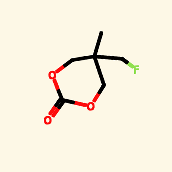 CC1(CF)COC(=O)OC1